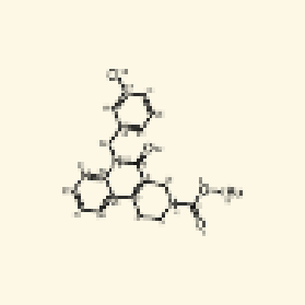 CC(C)(C)OC(=O)N1CCc2c(c(=O)n(Cc3cccc(Cl)c3)c3ncccc23)C1